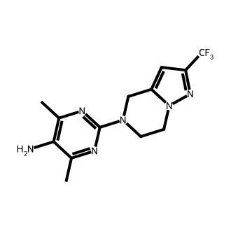 Cc1nc(N2CCn3nc(C(F)(F)F)cc3C2)nc(C)c1N